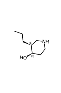 CCC[C@H]1CNCC[C@H]1O